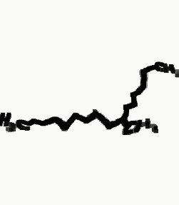 CCCCCCC[CH]CC(C)CCCCCC